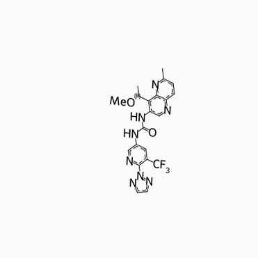 CO[C@H](C)c1c(NC(=O)Nc2cnc(-n3nccn3)c(C(F)(F)F)c2)cnc2ccc(C)nc12